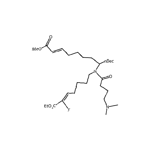 CCCCCCCCCCC(CCCCC=CC(=O)OC)N(CCCCC=C(F)C(=O)OCC)C(=O)CCCN(C)C